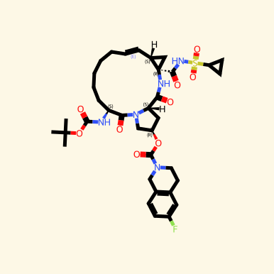 CC(C)(C)OC(=O)N[C@H]1CCCCC/C=C/[C@@H]2C[C@@]2(C(=O)NS(=O)(=O)C2CC2)NC(=O)[C@@H]2C[C@@H](OC(=O)N3CCc4cc(F)ccc4C3)CN2C1=O